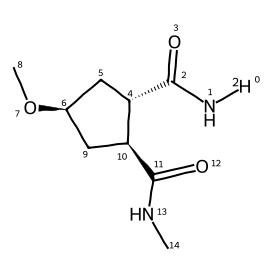 [2H]NC(=O)[C@H]1C[C@H](OC)C[C@@H]1C(=O)NC